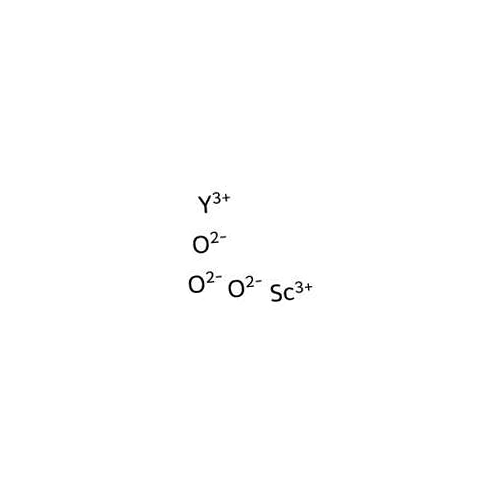 [O-2].[O-2].[O-2].[Sc+3].[Y+3]